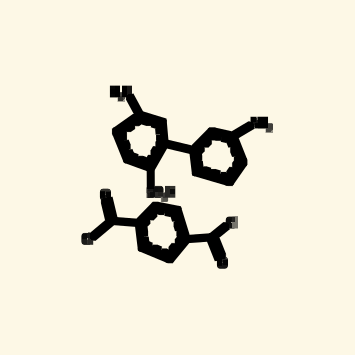 Nc1cccc(-c2cc(N)ccc2S(=O)(=O)O)c1.O=C(Cl)c1ccc(C(=O)Cl)cc1